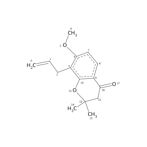 C=CCc1c(OC)ccc2c1OC(C)(C)CC2=O